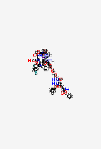 CNC(=O)[C@H](CCN(C(=O)CO)[C@@H](c1cc(-c2cc(F)ccc2F)cn1Cc1ccccc1)C(C)(C)C)NC(=O)[C@@H](NC(=O)[C@@H]1CCCN1C(=O)[C@H](CC(=O)O)NC(=O)CCOCCOCCOCCNC(=O)[C@H](CCCCNC(=O)OCc1ccccc1)NC(=O)OCc1ccccc1)C(C)C